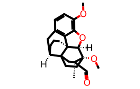 COc1ccc2c3c1O[C@@H]1[C@]34CCC[C@H](C2)C42CC[C@@]1(OC)[C@@](C)(C=O)C2